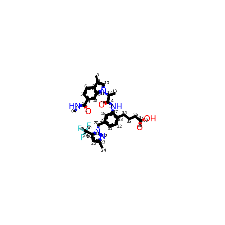 CNC(=O)c1ccc2c(C)cn(C(C)C(=O)Nc3cc(Cn4nc(C)cc4C(F)(F)F)ccc3CCCC(=O)O)c2c1